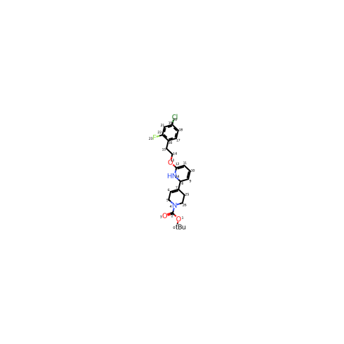 CC(C)(C)OC(=O)N1CC=C(C2C=CC=C(OCCc3ccc(Cl)cc3F)N2)CC1